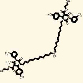 CCN(CCCCCCCCCCCCN1C(=O)N(c2cccc(C(F)(F)F)c2)C(C)=C(C(=O)OCCO)C1c1ccc(C#N)cc1)CCCCCCCCCCCCN1C(=O)N(c2cccc(C(F)(F)F)c2)C(C)=C(C(=O)OCCO)C1c1ccc(C#N)cc1